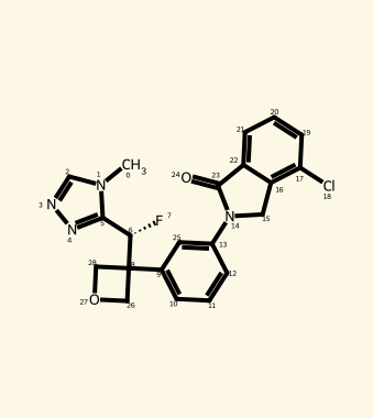 Cn1cnnc1[C@H](F)C1(c2cccc(N3Cc4c(Cl)cccc4C3=O)c2)COC1